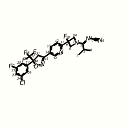 CC(C)C(=NC#N)N1CC(F)(c2ccc(C3=NOC(c4cc(F)cc(Cl)c4)(C(F)(F)F)C3)cn2)C1